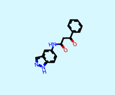 O=C(CC(=O)c1ccccc1)Nc1ccc2[nH]ncc2c1